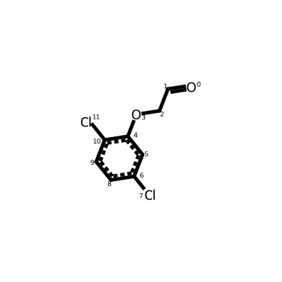 O=CCOc1cc(Cl)ccc1Cl